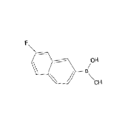 OB(O)c1ccc2ccc(F)cc2c1